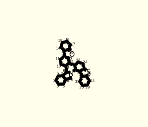 c1ccc2c(c1)cn1c2c2ccc3c4ccccc4oc3c2c2ccc3sc4ccccc4c3c21